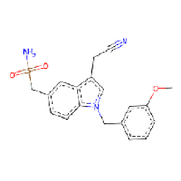 COc1cccc(Cn2cc(CC#N)c3cc(CS(N)(=O)=O)ccc32)c1